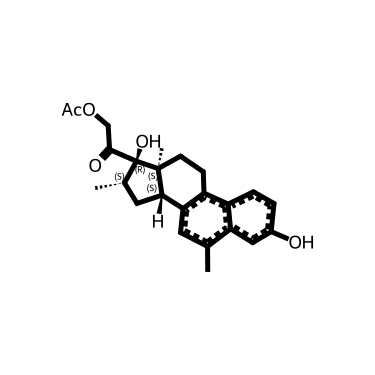 CC(=O)OCC(=O)[C@@]1(O)[C@@H](C)C[C@H]2c3cc(C)c4cc(O)ccc4c3CC[C@@]21C